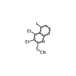 CCc1c(SC#N)nc2cccc(I)c2c1CC